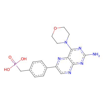 Nc1nc(N2CCOCC2)c2nc(-c3ccc(CP(=O)(O)O)cc3)cnc2n1